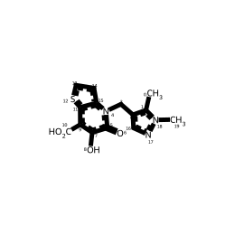 Cc1c(Cn2c(=O)c(O)c(C(=O)O)c3sccc32)cnn1C